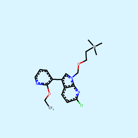 C[Si](C)(C)CCOCn1cc(-c2cccnc2OCC(F)(F)F)c2ccc(Cl)nc21